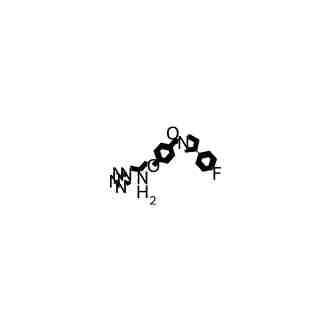 NC(COc1ccc(C(=O)N2CC[C@H](c3ccc(F)cc3)C2)cc1)Cn1cnnn1